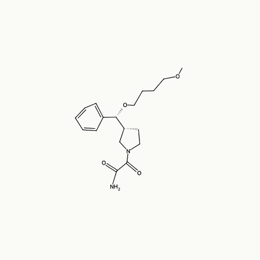 COCCCCO[C@@H](c1ccccc1)[C@@H]1CCN(C(=O)C(N)=O)C1